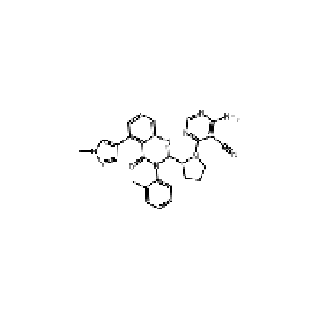 Cc1ccccc1-n1c(C2CCCN2c2ncnc(N)c2C#N)nc2cccc(-c3cnn(C)c3)c2c1=O